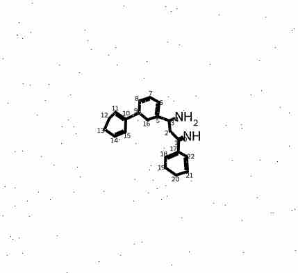 N=C(CC(N)C1=CC=CC(C2=CCCC=C2)C1)C1=CCCC=C1